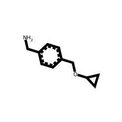 NCc1ccc(COC2CC2)cc1